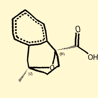 C[C@@]12CC[C@@](C(=O)O)(O1)c1ccccc12